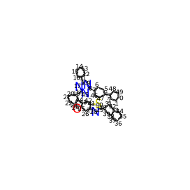 c1ccc(-c2ccc(-c3nc(-c4ccccc4)nc(-c4cccc5oc6cc7nc(-c8ccc9ccccc9c8)sc7cc6c45)n3)cc2)cc1